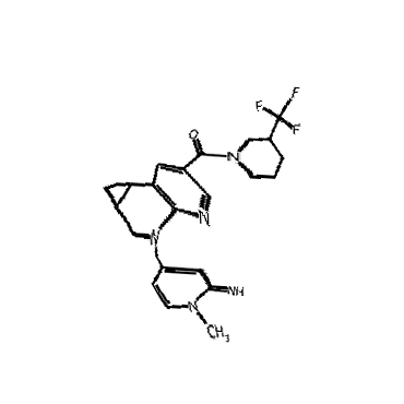 Cn1ccc(N2CC3CC3c3cc(C(=O)N4CCCC(C(F)(F)F)C4)cnc32)cc1=N